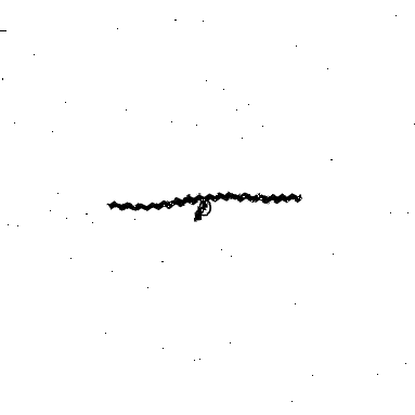 CCCCCCCCCCCCCCCCCC(CCCCCCCCCCCCCCCC)OCC